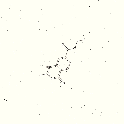 CCOC(=O)c1ccc2c(=O)cc(C)[nH]c2c1